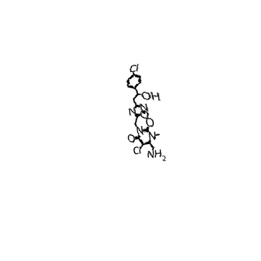 Cn1c(CN)c(Cl)c(=O)n(Cc2nc(CC(O)c3ccc(Cl)cc3)no2)c1=O